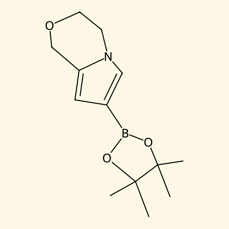 CC1(C)OB(c2cc3n(c2)CCOC3)OC1(C)C